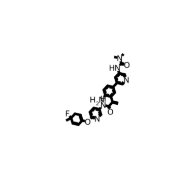 C=C(C(=O)Nc1ccc(OC2=CCC(C)(F)C=C2)nc1)c1cc(-c2cncc(NC(=O)N(C)C)c2)ccc1N